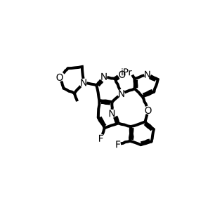 CC(C)c1nccc2oc3cccc(F)c3c3nc4c(cc3F)c(N3CCOCC3C)nc(=O)n4c12